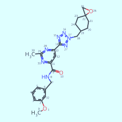 COc1cccc(CNC(=O)c2cc(-c3nnn(CC4CCC5(CC4)CO5)n3)nc(C)n2)c1